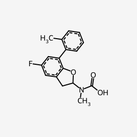 Cc1ccccc1-c1cc(F)cc2c1OC(N(C)C(=O)O)C2